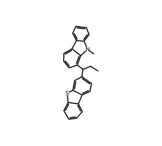 CCC(c1ccc2c(c1)sc1ccccc12)c1cccc2c3ccccc3n(C)c12